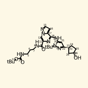 CC(C)(C)OC(=O)NCCCNC(=O)c1cn2nccc2c(Nc2cc([C@H]3CC[C@@H](O)C3)nn2C(C)(C)C)n1